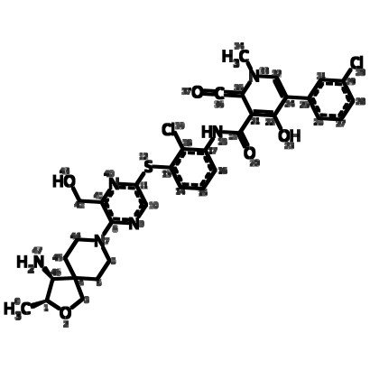 C[C@@H]1OCC2(CCN(c3ncc(Sc4cccc(NC(=O)C5=C(O)C(c6cccc(Cl)c6)=CN(C)C5=C=O)c4Cl)nc3CO)CC2)[C@@H]1N